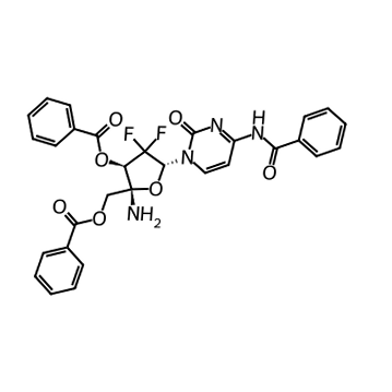 N[C@]1(COC(=O)c2ccccc2)O[C@@H](n2ccc(NC(=O)c3ccccc3)nc2=O)C(F)(F)[C@@H]1OC(=O)c1ccccc1